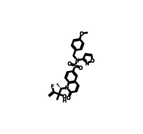 C=C(F)C(C)(O)[C@H](C)n1c(=O)ccc2cc(S(=O)(=O)N(Cc3ccc(OC)cc3)c3ccon3)ccc21